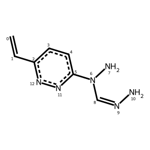 C=Cc1ccc(N(N)/C=N\N)nn1